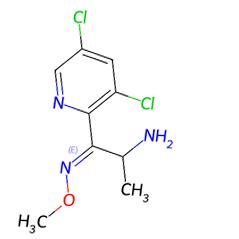 CO/N=C(/c1ncc(Cl)cc1Cl)C(C)N